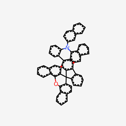 c1ccc(N(c2ccc3ccccc3c2)c2cccc3ccccc23)c(-c2ccc3c(c2)C2(c4ccccc4-3)c3ccc4ccccc4c3Oc3c2ccc2ccccc32)c1